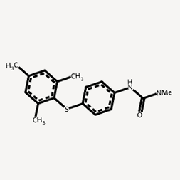 CNC(=O)Nc1ccc(Sc2c(C)cc(C)cc2C)cc1